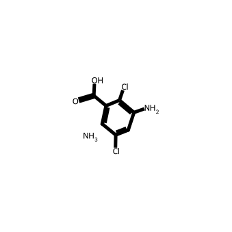 N.Nc1cc(Cl)cc(C(=O)O)c1Cl